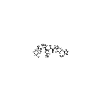 Cc1ncsc1-c1ccc(C(C)NC(=O)[C@@H]2C[C@@H](O)CN2C(=O)C(NC(=O)c2cncc(Br)c2)C(C)(C)C)cc1